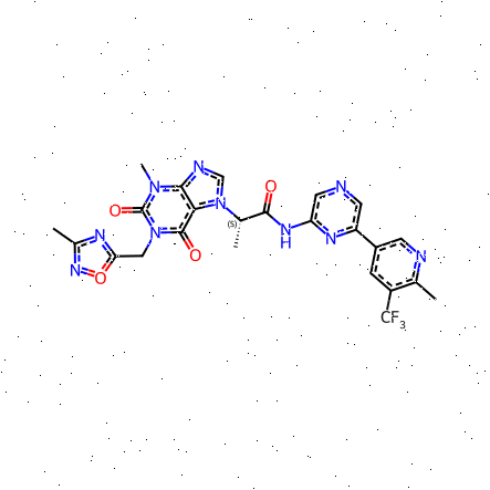 Cc1noc(Cn2c(=O)c3c(ncn3[C@@H](C)C(=O)Nc3cncc(-c4cnc(C)c(C(F)(F)F)c4)n3)n(C)c2=O)n1